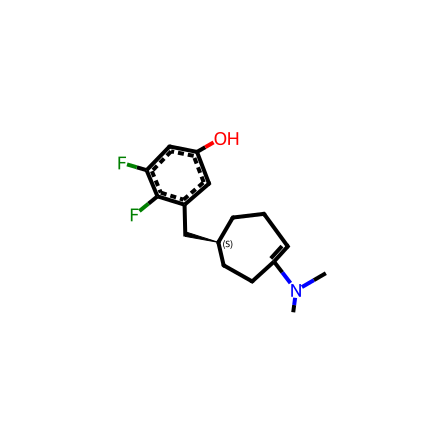 CN(C)C1=CCC[C@H](Cc2cc(O)cc(F)c2F)CC1